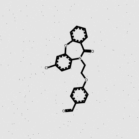 O=Cc1ccc(OCCN2C(=O)c3ccccc3Oc3cc(Cl)ccc32)cc1